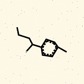 CCCC(I)c1ccc(C)cc1